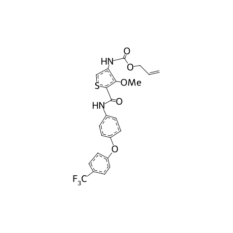 C=CCOC(=O)Nc1csc(C(=O)Nc2ccc(Oc3ccc(C(F)(F)F)cc3)cc2)c1OC